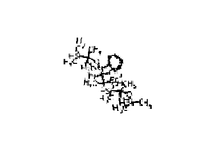 CCC(C)(O[Si](C)(c1ccccc1)C(C)(CC)C(C)(CC)O[Si](C)(C)C(C)(C)O[SiH](C)C)[SiH](C)C